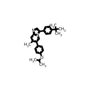 Cc1cc2ncc(-c3ccc(C(C)(C)C)cc3)n2cc1-c1ccc(OC(C)C)cc1